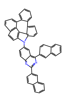 c1ccc2c(c1)-c1cccc3ccc4c(c13)c1c-2cccc1n4-c1ccc2nc(-c3ccc4ccccc4c3)nc(-c3ccc4ccccc4c3)c2c1